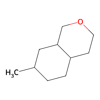 CC1CCC2CCOCC2C1